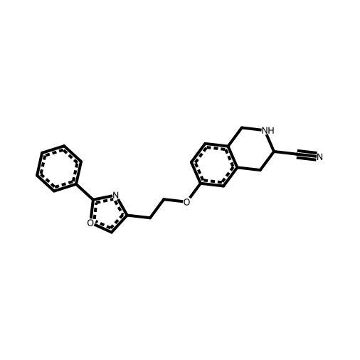 N#CC1Cc2cc(OCCc3coc(-c4ccccc4)n3)ccc2CN1